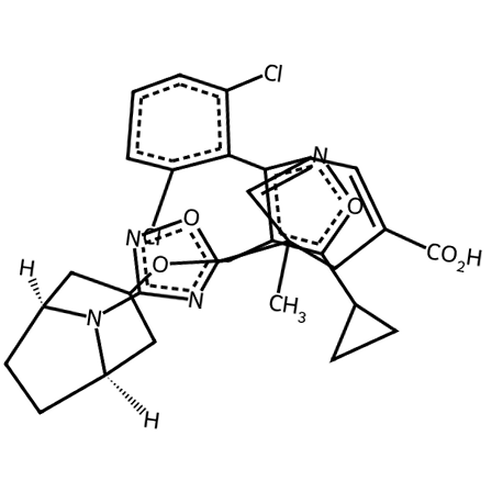 CC1(c2nc(N3[C@@H]4CC[C@H]3CC(OCc3c(-c5c(Cl)cccc5Cl)noc3C3CC3)C4)no2)C=CC=C(C(=O)O)C1